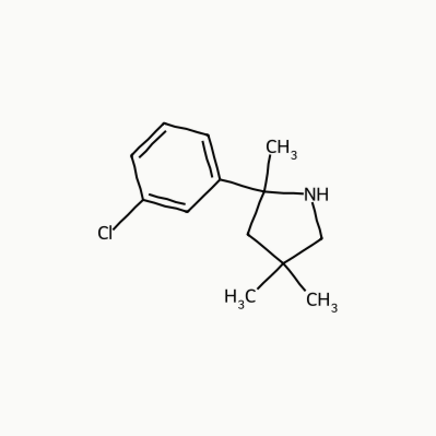 CC1(C)CNC(C)(c2cccc(Cl)c2)C1